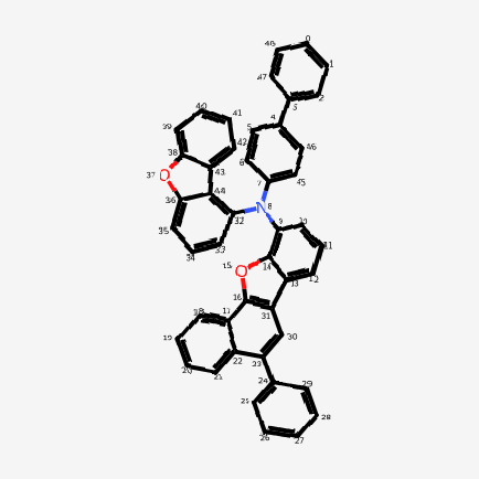 c1ccc(-c2ccc(N(c3cccc4c3oc3c5ccccc5c(-c5ccccc5)cc43)c3cccc4oc5ccccc5c34)cc2)cc1